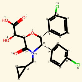 O=C(O)[C@H](O)[C@H]1O[C@H](c2cccc(Cl)c2)[C@H](c2ccc(Cl)cc2)N(CC2CC2)C1=O